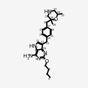 CCCCOc1nc(N)c2[nH]cc(Cc3ccc(CC4(C)CNCC(C)O4)cc3)c2n1